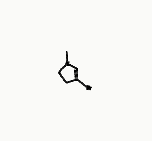 CC(C)C1=CN(C)CC1